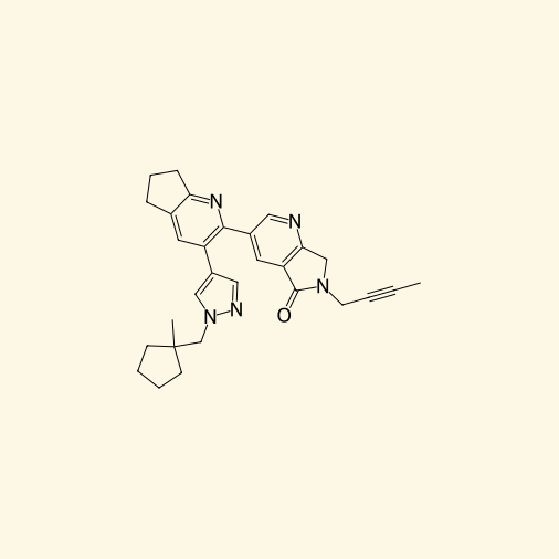 CC#CCN1Cc2ncc(-c3nc4c(cc3-c3cnn(CC5(C)CCCC5)c3)CCC4)cc2C1=O